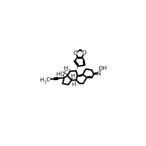 CC#C[C@]1(O)CC[C@H]2[C@@H]3CCC4=C/C(=N/O)CCC4=C3[C@@H](c3ccc4c(c3)OCO4)C[C@@]21C